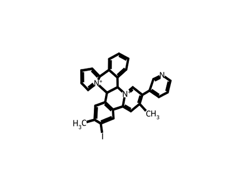 Cc1cc2c(cc1I)-c1cc(C)c(-c3cccnc3)c[n+]1C1c3ccccc3-c3cccc[n+]3C21